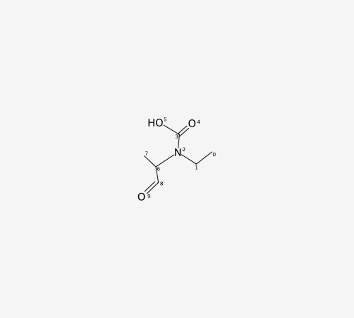 CCN(C(=O)O)C(C)C=O